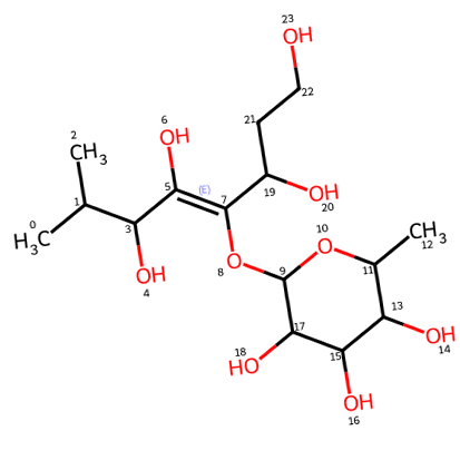 CC(C)C(O)/C(O)=C(\OC1OC(C)C(O)C(O)C1O)C(O)CCO